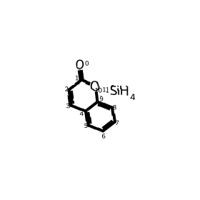 O=c1ccc2ccccc2o1.[SiH4]